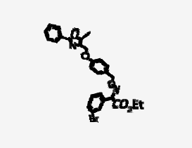 CCOC(=O)C(=NOCc1ccc(OCc2nc(-c3ccccc3)oc2C)cc1)c1cccc(Br)c1